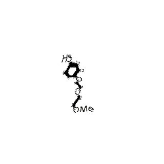 COCCOCCOc1ccc(S)cc1